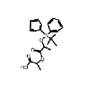 CC(OC(=O)C(C)O[Si](c1ccccc1)(c1ccccc1)C(C)(C)C)C(=O)O